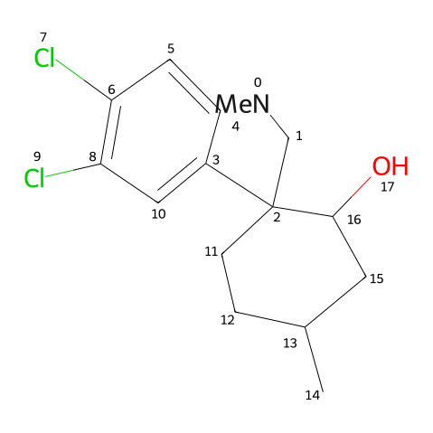 CNCC1(c2ccc(Cl)c(Cl)c2)CCC(C)CC1O